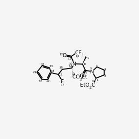 CCOC(=O)[C@@H]1CCCN1C(=O)[C@H](C)N(C(=O)C(F)(F)F)[C@@H](CC(F)c1ccccc1)C(=O)OCC